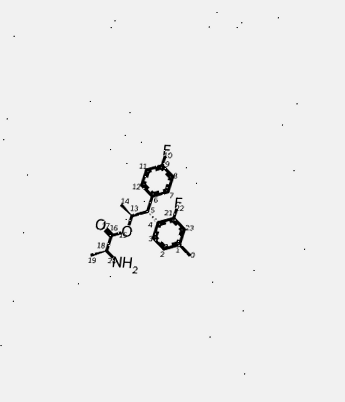 Cc1ccc([C@@H](c2ccc(F)cc2)[C@H](C)OC(=O)[C@H](C)N)c(F)c1